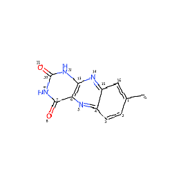 Cc1ccc2nc3c(=O)[nH]c(=O)[nH]c3nc2c1